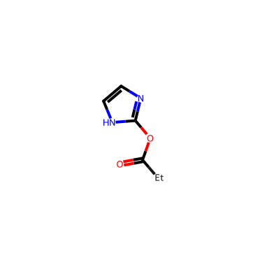 CCC(=O)Oc1ncc[nH]1